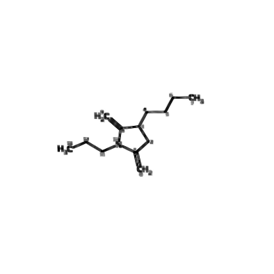 C=C1CC(CCCC)C(=C)N1CCC